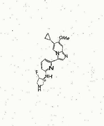 COc1cc2ncc(-c3cccc(N[C@H]4CNCC4F)n3)n2cc1C1CC1